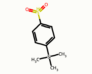 C[Si](C)(C)c1ccc([SH](=O)=O)cc1